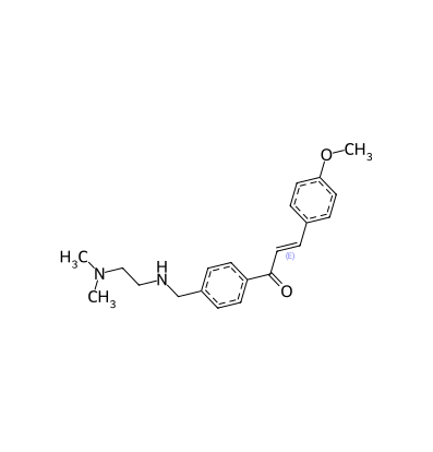 COc1ccc(/C=C/C(=O)c2ccc(CNCCN(C)C)cc2)cc1